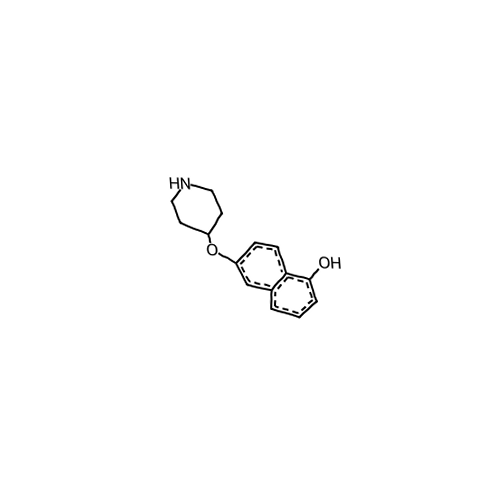 Oc1cccc2cc(OC3CCNCC3)ccc12